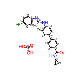 O=C(NC1CC1)c1ccc(-c2ccc(Nc3nc4ccc(F)cc4s3)c(F)c2)cc1.O=C(O)O